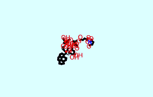 O=C(CCCc1ccc2ccc3cccc4ccc1c2c34)OCC1OC2CCCCOC3C(CO)OC(OC4C(COC(=O)CCC(=O)ON5C(=O)CCC5=O)OC(OC1C(O)C2O)C(O)C4O)C(O)C3O